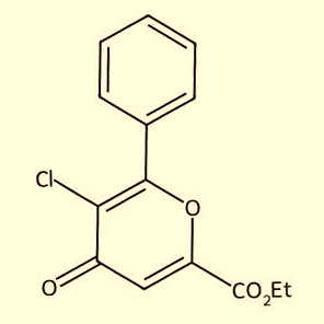 CCOC(=O)c1cc(=O)c(Cl)c(-c2ccccc2)o1